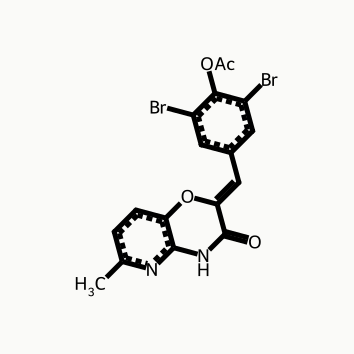 CC(=O)Oc1c(Br)cc(/C=C2\Oc3ccc(C)nc3NC2=O)cc1Br